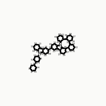 c1ccc(-c2ccc(-n3c4ccccc4c4cc(-c5ccc6c(c5)c5cccc7c8ccccc8c8ccccc8c8ccccc8n6c75)ccc43)cc2)cc1